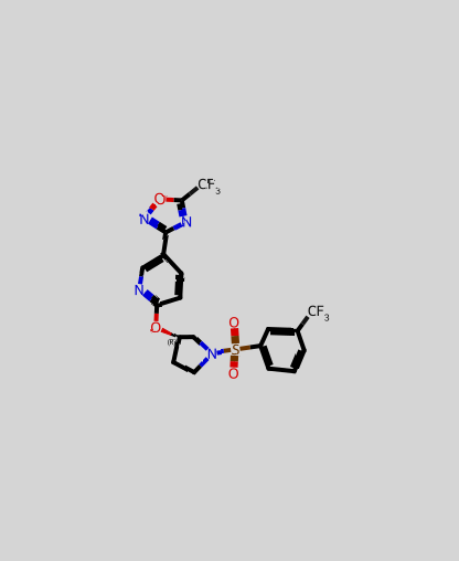 O=S(=O)(c1cccc(C(F)(F)F)c1)N1CC[C@@H](Oc2ccc(-c3noc(C(F)(F)F)n3)cn2)C1